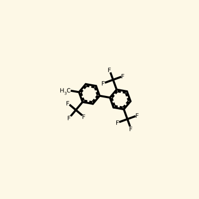 Cc1ccc(-c2cc(C(F)(F)F)ccc2C(F)(F)F)cc1C(F)(F)F